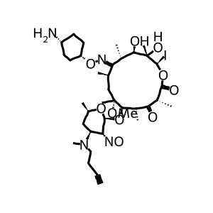 C#CCCN(C)[C@H]1C[C@@H](C)O[C@@H](O[C@@H]2[C@@H](C)C(=O)[C@@H](C)C(=O)O[C@H](I)[C@@](C)(O)[C@H](O)[C@@H](C)/C(=N/O[C@H]3CC[C@@H](N)CC3)[C@H](C)C[C@@]2(C)OC)[C@@H]1N=O